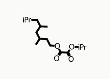 CC(C)CC(C)CC(C)CCOC(=O)C(=O)OC(C)C